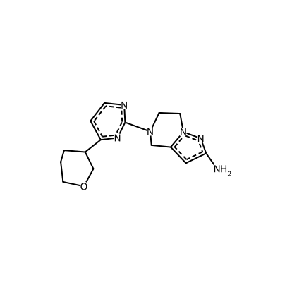 Nc1cc2n(n1)CCN(c1nccc(C3CCCOC3)n1)C2